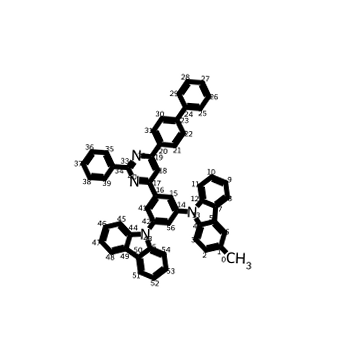 Cc1ccc2c(c1)c1ccccc1n2-c1cc(-c2cc(-c3ccc(-c4ccccc4)cc3)nc(-c3ccccc3)n2)cc(-n2c3ccccc3c3ccccc32)c1